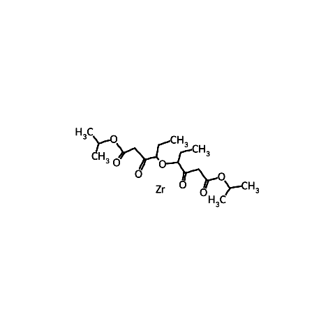 CCC(OC(CC)C(=O)CC(=O)OC(C)C)C(=O)CC(=O)OC(C)C.[Zr]